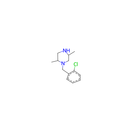 CC1CN(Cc2ccccc2Cl)C(C)CN1